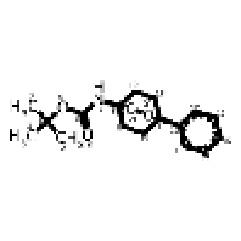 CC(C)(C)OC(=O)NC12CCC(c3ccccc3)(CC1)OC2